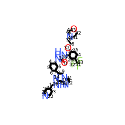 O=C(Nc1cccc(-c2cn3ccnc3c(NCc3ccncc3)n2)c1)Nc1cc(C(F)(F)F)ccc1OCCN1CCOCC1